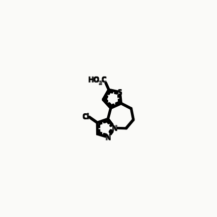 O=C(O)c1cc2c(s1)CCCn1ncc(Cl)c1-2